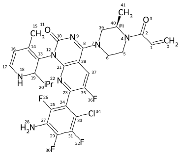 C=CC(=O)N1CCN(c2nc(=O)n(C3=C(C)C=CNC3C(C)C)c3nc(-c4c(F)c(N)c(F)c(F)c4Cl)c(F)cc23)C[C@H]1C